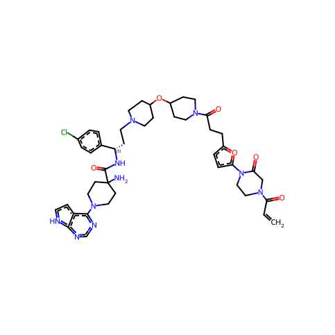 C=CC(=O)N1CCN(c2ccc(CCC(=O)N3CCC(OC4CCN(CC[C@H](NC(=O)C5(N)CCN(c6ncnc7[nH]ccc67)CC5)c5ccc(Cl)cc5)CC4)CC3)o2)C(=O)C1